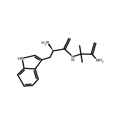 C=C(NC(C)(C)C(=C)N)[C@H](N)Cc1c[nH]c2ccccc12